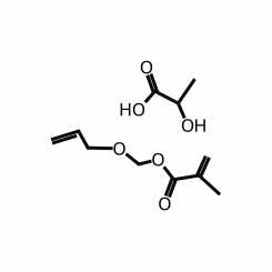 C=CCOCOC(=O)C(=C)C.CC(O)C(=O)O